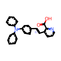 O=C(O)c1ncccc1/C=C/c1ccc(N(c2ccccc2)c2ccccc2)cc1